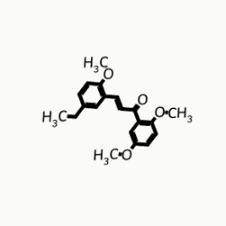 CCc1ccc(OC)c(C=CC(=O)c2cc(OC)ccc2OC)c1